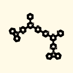 c1ccc(-c2cc(-c3cnc(-n4c5ccccc5c5ccccc54)nc3)cc(-c3ccc(-c4ccc(-c5cc(-c6cnc(-n7c8ccccc8c8ccccc87)nc6)cc(-c6ccccn6)n5)nc4)cn3)n2)cc1